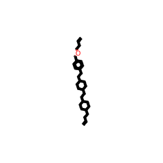 C=CCCOCc1ccc(CCC2CCC(CCC3CCC(CCC=C)CC3)CC2)cc1